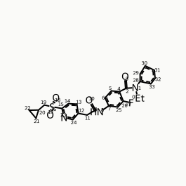 CCN(C(=O)c1ccc(NC(=O)Cc2ccc(S(=O)(=O)CC3CC3)nc2)cc1F)c1ccccc1